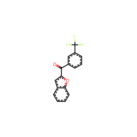 O=C(c1cccc(C(F)(F)F)c1)c1cc2ccccc2o1